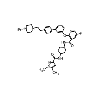 Cc1cc(C(=O)NC2CCC(NC(=O)c3cc(F)cnc3Oc3cccc(-c4ccc(CCN5CCN(C(C)C)CC5)cc4)c3)CC2)nn1C